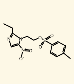 CCc1ncc([N+](=O)[O-])n1CCOS(=O)(=O)c1ccc(C)cc1